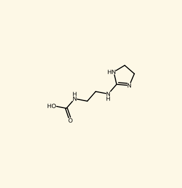 O=C(O)NCCNC1=NCCN1